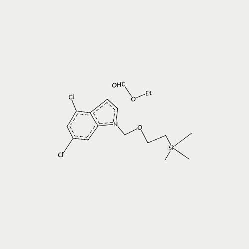 CCOC=O.C[Si](C)(C)CCOCn1ccc2c(Cl)cc(Cl)cc21